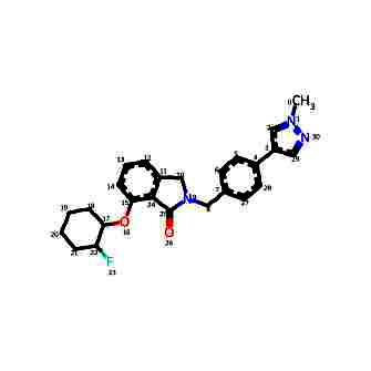 Cn1cc(-c2ccc(CN3Cc4cccc(OC5CCCCC5F)c4C3=O)cc2)cn1